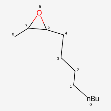 CCCCCCCCC1OC1C